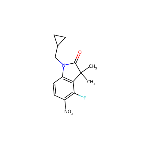 CC1(C)C(=O)N(CC2CC2)c2ccc([N+](=O)[O-])c(F)c21